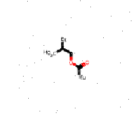 CCC(COC(=O)C(C)(C)C)C(=O)O